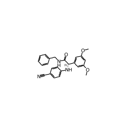 COc1cc(OC)cc([C@H](Nc2ccc(C#N)cc2)C(=O)NCc2ccccc2)c1